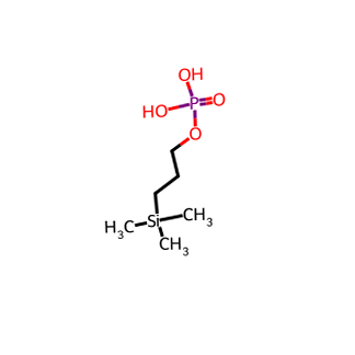 C[Si](C)(C)CCCOP(=O)(O)O